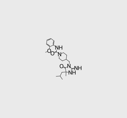 COc1ccccc1NC(=O)N1CCC(CN2C(=N)NC(C)(CC(C)C)C2=O)CC1